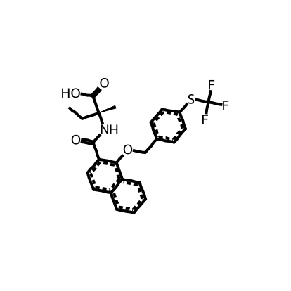 CC[C@@](C)(NC(=O)c1ccc2ccccc2c1OCc1ccc(SC(F)(F)F)cc1)C(=O)O